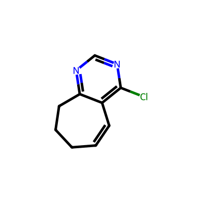 Clc1ncnc2c1C=CCCC2